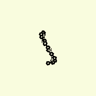 c1ccc(-c2ccc3ccc4ccc(-c5ccc(-c6ccc7cc(-c8ccc9nc(-c%10ccc%11ccc%12cccnc%12c%11n%10)ccc9c8)ccc7n6)cc5)nc4c3n2)cc1